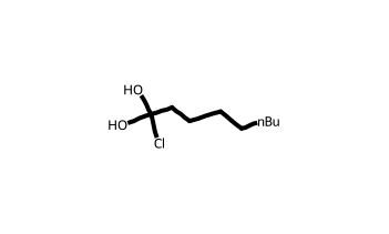 CCCCCCCCC(O)(O)Cl